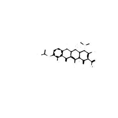 CCOC(=O)C(C)Nc1ccc2c(c1O)C(=O)C1=C(O)[C@]3(O)C(=O)C(C(N)=O)=C(O)[C@@H](N(C)C)[C@@H]3[C@@H](O)[C@@H]1[C@H]2C